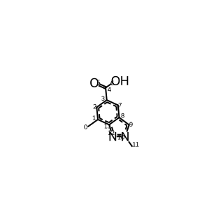 Cc1cc(C(=O)O)cc2cn(C)nc12